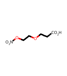 O=C(O)CCOCCO[N+](=O)[O-]